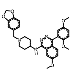 COc1ccc(OC)c(-c2nnc(NC3CCN(Cc4ccc5c(c4)OCO5)CC3)c3cc(OC)ccc23)c1